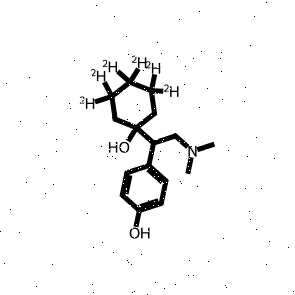 [2H]C1([2H])CC(O)(C(CN(C)C)c2ccc(O)cc2)CC([2H])([2H])C1([2H])[2H]